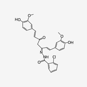 COc1cc(/C=C/C(=O)CC(/C=C/c2ccc(O)c(OC)c2)=N/NC(=O)c2ccccc2Cl)ccc1O